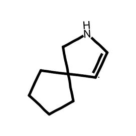 [C]1=CNCC12CCCC2